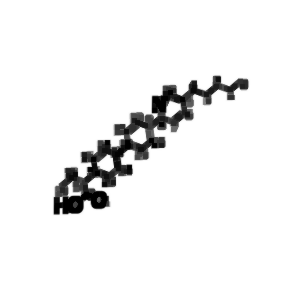 CCCCCc1ccc(-c2ccc(-c3ccc(C(CC)C(=O)O)cc3)cc2)nc1